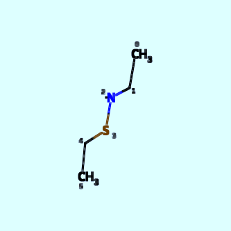 CC[N]SCC